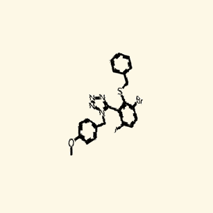 COc1ccc(Cn2nnnc2-c2c(I)ccc(Br)c2SCc2ccccc2)cc1